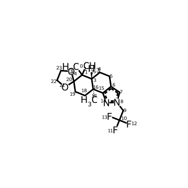 CC1(C)[C@@H]2CCc3cn(CC(F)(F)F)nc3[C@@]2(C)CCC12OCCO2